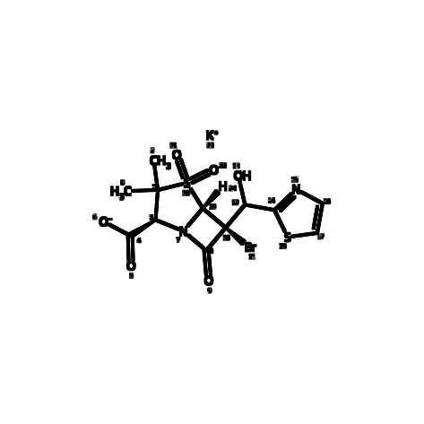 CC1(C)[C@H](C(=O)[O-])N2C(=O)[C@@](Br)(C(O)c3nccs3)[C@H]2S1(=O)=O.[K+]